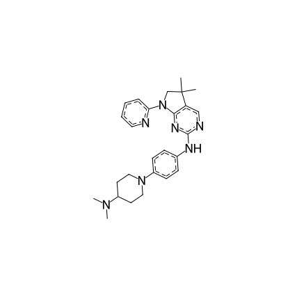 CN(C)C1CCN(c2ccc(Nc3ncc4c(n3)N(c3ccccn3)CC4(C)C)cc2)CC1